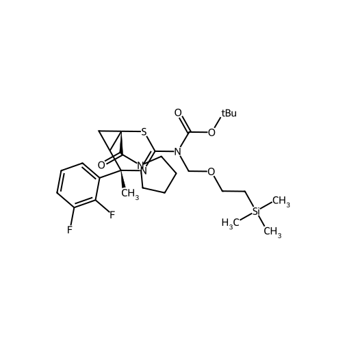 CC(C)(C)OC(=O)N(COCC[Si](C)(C)C)C1=N[C@](C)(c2cccc(F)c2F)C2C[C@]2(C(=O)N2CCCC2)S1